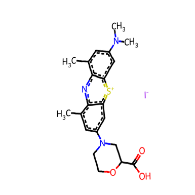 Cc1cc(N(C)C)cc2[s+]c3cc(N4CCOC(C(=O)O)C4)cc(C)c3nc12.[I-]